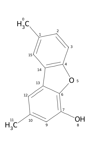 Cc1ccc2oc3c(O)cc(C)cc3c2c1